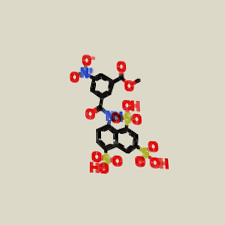 COC(=O)c1cc(C(=O)Nc2ccc(S(=O)(=O)O)c3cc(S(=O)(=O)O)cc(S(=O)(=O)O)c23)cc([N+](=O)[O-])c1